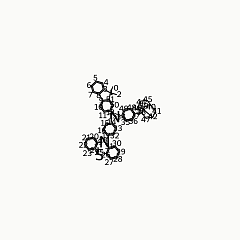 CC1(C)c2ccccc2-c2ccc(N(c3ccc(N4c5ccccc5Sc5ccccc54)cc3)c3ccc(C45CC6CC(CC(C6)C4)C5)cc3)cc21